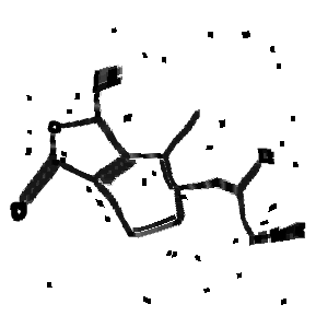 CCCCCCC(CC)c1ccc2c(c1C)C(CC)OC2=O